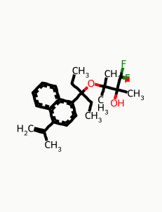 C=C(C)c1ccc(C(CC)(CC)OC(C)(C)C(C)(O)C(F)(F)F)c2ccccc12